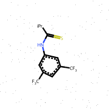 CC(C)C(=S)Nc1cc(C(F)(F)F)cc(C(F)(F)F)c1